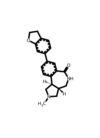 CN1C[C@H]2CNC(=O)c3cc(-c4ccc5c(c4)OCC5)ccc3[C@@H]2C1